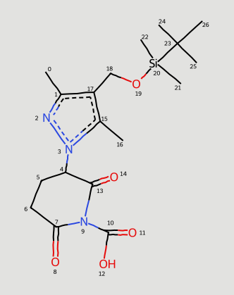 Cc1nn(C2CCC(=O)N(C(=O)O)C2=O)c(C)c1CO[Si](C)(C)C(C)(C)C